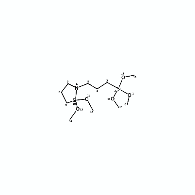 CO[Si](CCCN1CCC[Si]1(OC)OC)(OC)OC